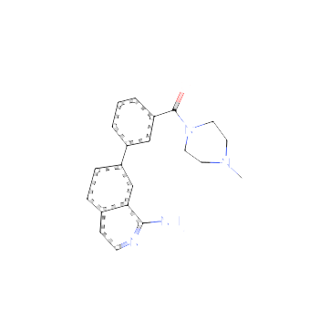 CN1CCN(C(=O)c2cccc(-c3ccc4ccnc(N)c4c3)c2)CC1